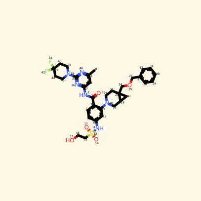 Cc1cc(NC(=O)c2ccc(NS(=O)(=O)CCO)cc2N2CCC3(COCc4ccccc4)CC3C2)nc(N2CCC(F)(F)CC2)n1